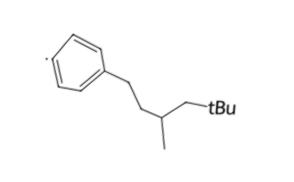 CC(CCc1cc[c]cc1)CC(C)(C)C